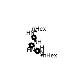 CCCCCCC(C)Nc1ccc(Nc2ccc(C)c(Nc3ccc(NC(C)CCCCCC)cc3)c2)cc1